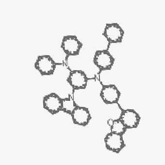 c1ccc(-c2ccc(N(c3ccc(-c4cccc5c4oc4ccccc45)cc3)c3cc(N(c4ccccc4)c4ccccc4)cc(-n4c5ccccc5c5ccccc54)c3)cc2)cc1